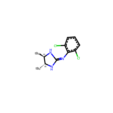 CC(C)(C)[C@H]1NC(=Nc2c(Cl)cccc2Cl)N[C@@H]1C(C)(C)C